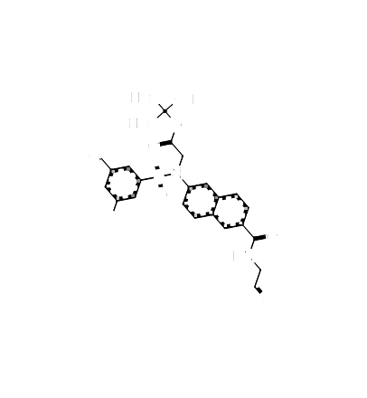 CC(C)(C)OC(=O)CN(c1ccc2cc(C(=O)NCC=O)ccc2c1)S(=O)(=O)c1cc(Cl)cc(Cl)c1